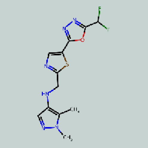 Cc1c(NCc2ncc(-c3nnc(C(F)F)o3)s2)cnn1C